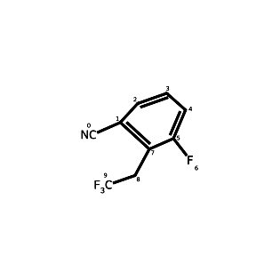 N#Cc1cccc(F)c1CC(F)(F)F